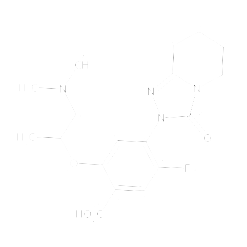 CC(CN(C)C)Oc1cc(-n2nc3n(c2=O)CCCC3)c(F)cc1C(=O)O